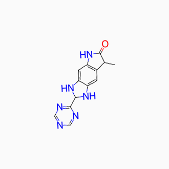 CC1C(=O)Nc2cc3c(cc21)NC(c1ncncn1)N3